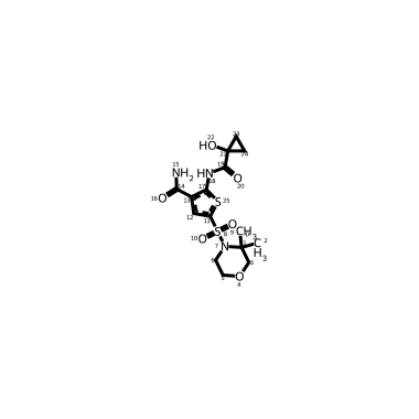 CC1(C)COCCN1S(=O)(=O)c1cc(C(N)=O)c(NC(=O)C2(O)CC2)s1